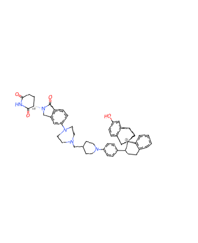 O=C1CC[C@H](N2Cc3cc(N4CCN(CC5CCN(c6ccc(C7CCc8ccccc8[C@]78CCc7cc(O)ccc7C8)cc6)CC5)CC4)ccc3C2=O)C(=O)N1